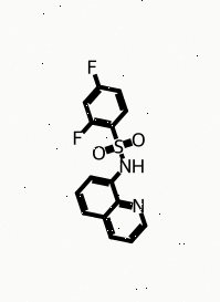 O=S(=O)(Nc1cccc2cccnc12)c1ccc(F)cc1F